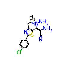 CCc1nc(-c2ccc(Cl)cc2)sc1/C(NN)=C(/N)C#N